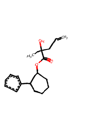 C=CCC(C)(O)C(=O)OC1CCCCC1c1ccccc1